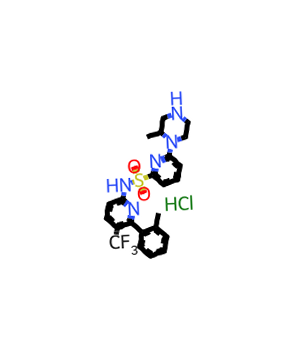 Cc1ccccc1-c1nc(NS(=O)(=O)c2cccc(N3CCNCC3C)n2)ccc1C(F)(F)F.Cl